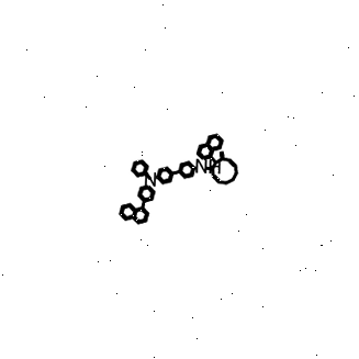 C=C1/C=C\CCC/C=C\C(C)C1c1c(Nc2ccc(-c3ccc(N(c4ccccc4)c4ccc(-c5cccc6ccccc56)cc4)cc3)cc2)ccc2ccccc12